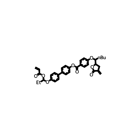 C=CC(=O)OC(CC)Oc1ccc(-c2ccc(OC(=O)c3ccc(OC(CCCC)C4CC(=C)C(=O)O4)cc3)cc2)cc1